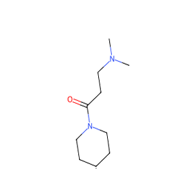 CN(C)CCC(=O)N1CC[CH]CC1